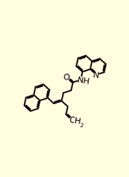 C=CC/C(=C/c1cccc2ccccc12)CCC(=O)Nc1cccc2cccnc12